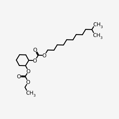 CCOC(=O)OC1CCCCC1OC(=O)OCCCCCCCCCC(C)C